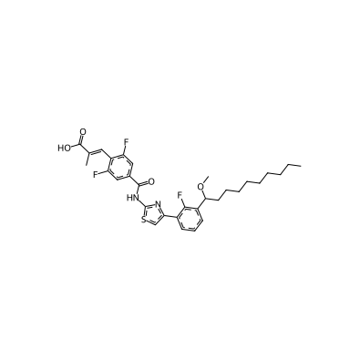 CCCCCCCCCC(OC)c1cccc(-c2csc(NC(=O)c3cc(F)c(C=C(C)C(=O)O)c(F)c3)n2)c1F